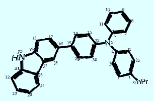 CCCc1ccc(N(c2ccccc2)c2ccc(-c3ccc4[nH]c5ccccc5c4c3)cc2)cc1